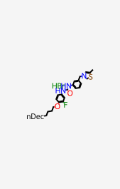 Br.CCCCCCCCCCCCCCOc1ccc(NC(=O)Nc2cccc(CN3C=C(C)SC3)c2)cc1F